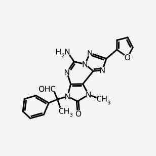 Cn1c(=O)n(C(C)(C=O)c2ccccc2)c2nc(N)n3nc(-c4ccco4)nc3c21